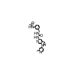 Cc1cc(-n2ncc3cc(NC(=O)NCc4cccc(N[S+](C)[O-])c4)ncc32)ccn1